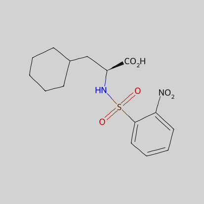 O=C(O)[C@H](CC1CCCCC1)NS(=O)(=O)c1ccccc1[N+](=O)[O-]